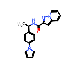 CC(NC(=O)c1cc2ccccn2n1)c1ccc(-n2cccc2)cc1